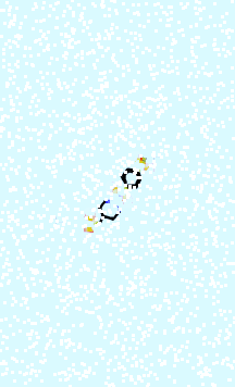 CS(=O)(=O)CC1CCN(S(=O)(=O)c2ccc(S(C)(=O)=O)cc2)CC1